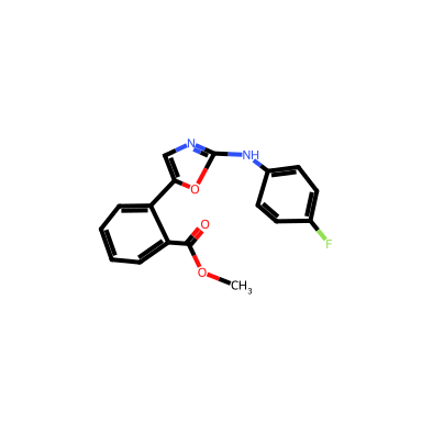 COC(=O)c1ccccc1-c1cnc(Nc2ccc(F)cc2)o1